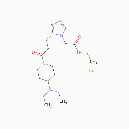 CCOC(=O)Cn1ccnc1CCC(=O)N1CCC(N(CC)CC)CC1.Cl